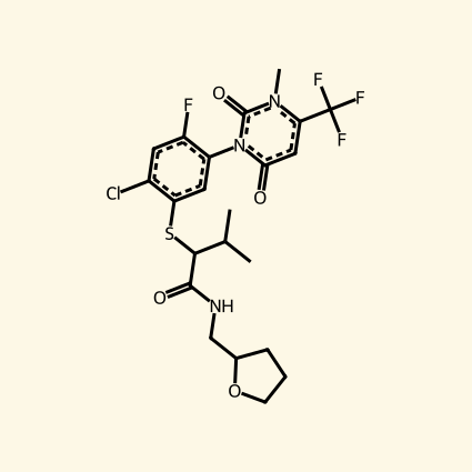 CC(C)C(Sc1cc(-n2c(=O)cc(C(F)(F)F)n(C)c2=O)c(F)cc1Cl)C(=O)NCC1CCCO1